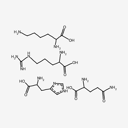 N=C(N)NCCCC(N)C(=O)O.NC(=O)CCC(N)C(=O)O.NC(Cc1c[nH]cn1)C(=O)O.NCCCCC(N)C(=O)O